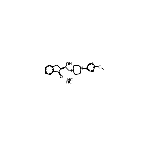 COc1ccc(N2CCN(C/C(O)=C3/Cc4ccccc4C3=O)CC2)cc1.Cl.Cl